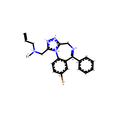 C=CCN(CC)Cc1nnc2n1-c1ccc(Br)cc1C(c1ccccc1)=NC2